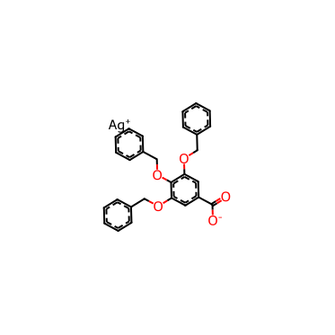 O=C([O-])c1cc(OCc2ccccc2)c(OCc2ccccc2)c(OCc2ccccc2)c1.[Ag+]